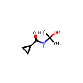 CC(C)(O)NC(=O)C1CC1